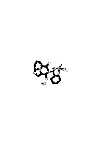 Cl.O=c1c2cccc3ncc(c(=O)n1C(NS(=O)(=O)C(F)(F)F)c1ccccc1)n32